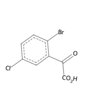 O=C(O)C(=O)c1cc(Cl)ccc1Br